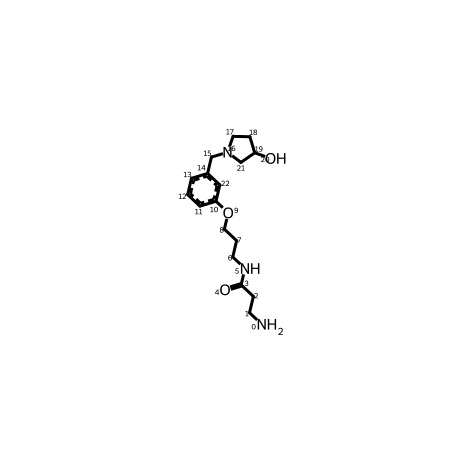 NCCC(=O)NCCCOc1cccc(CN2CCC(O)C2)c1